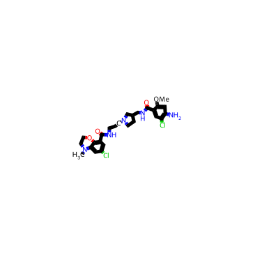 COc1cc(N)c(Cl)cc1C(=O)NCC1CCN(CCCNC(=O)c2cc(Cl)cc3c2OCCN3C)C1